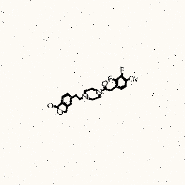 N#Cc1ccc(CC(=O)N2CCN(CCc3ccc4c(c3)COC4=O)CC2)c(F)c1F